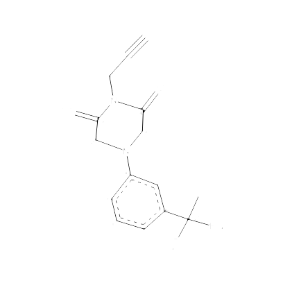 C#CCN1C(=O)CN(c2cccc(C(F)(F)F)c2)CC1=O